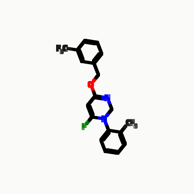 FC1=CC(OCc2cccc(C(F)(F)F)c2)=NCN1c1ccccc1C(F)(F)F